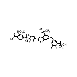 CCC(=O)c1ccc(C(c2ccc(C(=O)Cc3c(C)cc(Cc4cc(C)c(C)c(C(C)(O)C(F)(F)F)c4)cc3C(C)(O)C(F)(F)F)cc2)(C(F)(F)F)C(F)(F)F)cc1C(=O)O